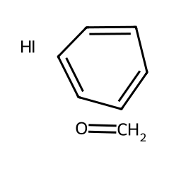 C=O.I.c1ccccc1